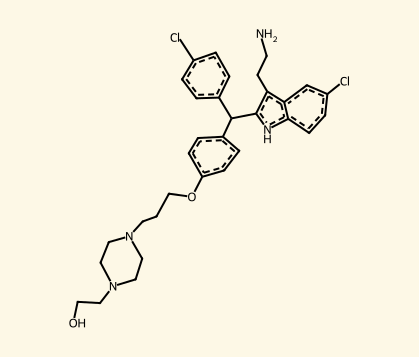 NCCc1c(C(c2ccc(Cl)cc2)c2ccc(OCCCN3CCN(CCO)CC3)cc2)[nH]c2ccc(Cl)cc12